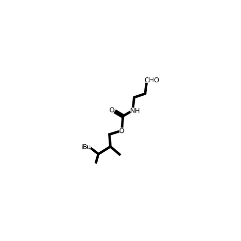 CCC(C)C(C)C(C)COC(=O)NCCC=O